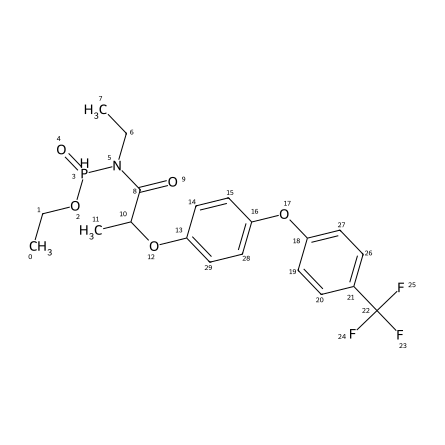 CCO[PH](=O)N(CC)C(=O)C(C)Oc1ccc(Oc2ccc(C(F)(F)F)cc2)cc1